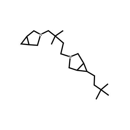 CC(C)(C)CCC1C2CN(CCC(C)(C)CN3CC4CC4C3)CC12